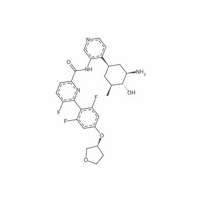 C[C@H]1C[C@@H](c2ccncc2NC(=O)c2ccc(F)c(-c3c(F)cc(O[C@H]4CCOC4)cc3F)n2)C[C@@H](N)[C@@H]1O